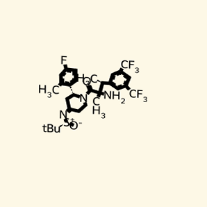 Cc1cc(F)ccc1[C@H]1C/C(=N/[S@+]([O-])C(C)(C)C)CCN1C(=O)C(C)(N)[C@H](C)c1cc(C(F)(F)F)cc(C(F)(F)F)c1